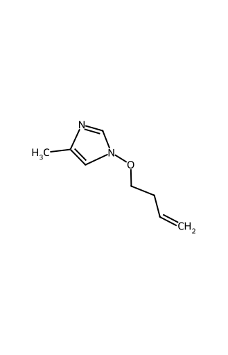 C=CCCOn1cnc(C)c1